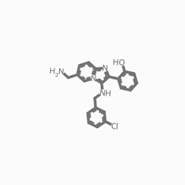 NCc1ccc2nc(-c3ccccc3O)c(NCc3cccc(Cl)c3)n2c1